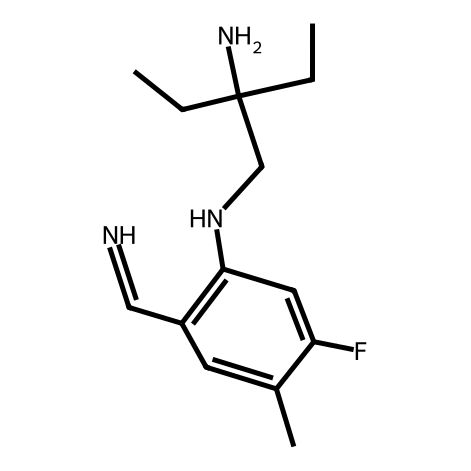 CCC(N)(CC)CNc1cc(F)c(C)cc1C=N